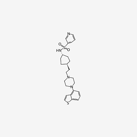 O=S(=O)(N[C@H]1CC[C@H](CCN2CCN(c3cccc4sccc34)CC2)CC1)c1cccnc1